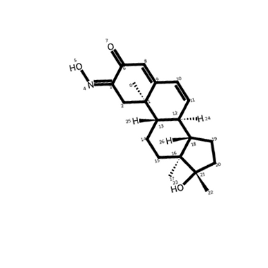 C[C@]12CC(=NO)C(=O)C=C1C=C[C@@H]1[C@@H]2CC[C@@]2(C)[C@H]1CC[C@]2(C)O